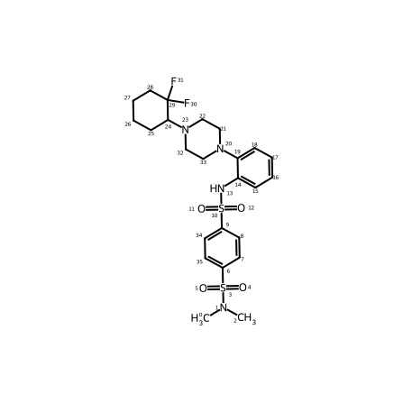 CN(C)S(=O)(=O)c1ccc(S(=O)(=O)Nc2ccccc2N2CCN(C3CCCCC3(F)F)CC2)cc1